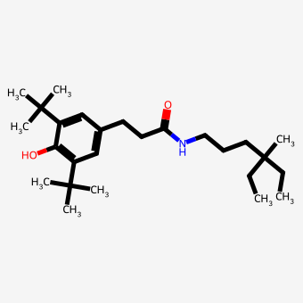 CCC(C)(CC)CCCNC(=O)CCc1cc(C(C)(C)C)c(O)c(C(C)(C)C)c1